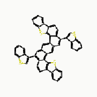 c1ccc2c(-c3cc4cc5c(cc(-c6csc7ccccc67)c6ccc7c8ccccc8sc7c65)cc4c4c3ccc3c5ccccc5sc34)csc2c1